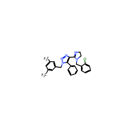 FC(F)(F)c1cc(Cn2nnc(C3=NCCN3Cc3ccccc3Cl)c2-c2ccccc2)cc(C(F)(F)F)c1